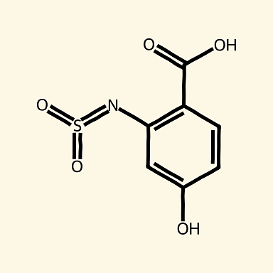 O=C(O)c1ccc(O)cc1N=S(=O)=O